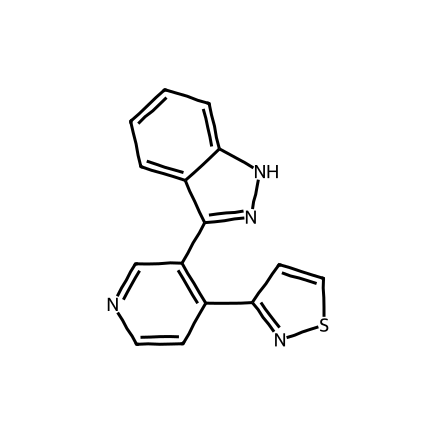 c1ccc2c(-c3cnccc3-c3ccsn3)n[nH]c2c1